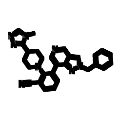 Cn1cnnc1C1CCN(c2c(C#N)cccc2-c2cncc3cn(Cc4ccccc4)nc23)CC1